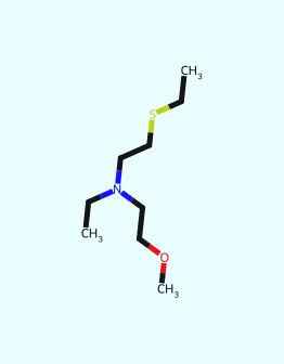 CCSCCN(CC)CCOC